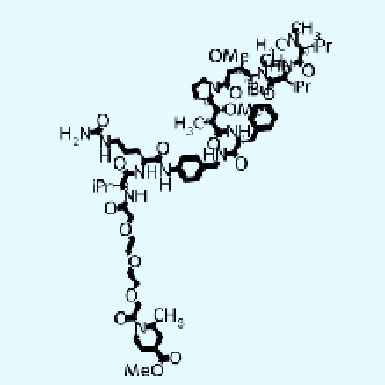 CC[C@H](C)[C@@H]([C@@H](CC(=O)N1CCC[C@H]1[C@H](OC)[C@@H](C)C(=O)N[C@@H](Cc1ccccc1)C(=O)NCc1ccc(NC(=O)[C@H](CCCNC(N)=O)NC(=O)[C@@H](NC(=O)COCCOCCOCC(=O)N2CCC(C(=O)OC)CC2C)C(C)C)cc1)OC)N(C)C(=O)[C@@H](NC(=O)[C@H](C(C)C)N(C)C)C(C)C